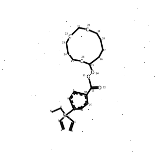 C=C[Si](C=C)(CC)c1ccc(C(=O)OO[C]2CCCCCCCCCCC2)cc1